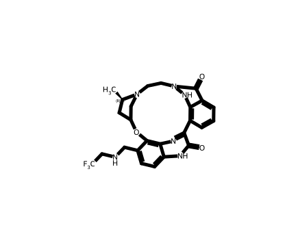 C[C@@H]1CC2CN1CCn1[nH]c3c(cccc3c1=O)-c1nc3c(c(CNCC(F)(F)F)ccc3[nH]c1=O)O2